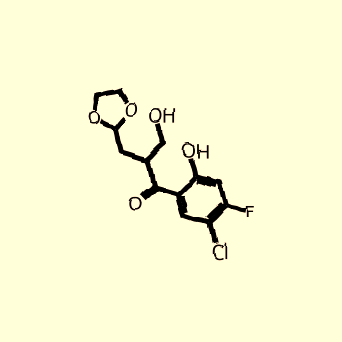 O=C(c1cc(Cl)c(F)cc1O)C(CO)CC1OCCO1